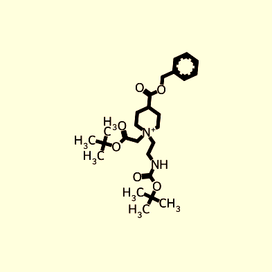 CC(C)(C)OC(=O)C[N+]1(CCNC(=O)OC(C)(C)C)CCC(C(=O)OCc2ccccc2)CC1